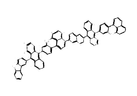 c1cc2c3c(cccc3c1)-c1ccc(-c3c4ccccc4c(-c4ccc5cc(-c6ccc7c8c(cccc68)Oc6cc(-c8c9ccccc9c(-c9ccc%10oc%11ccccc%11c%10c9)c9ccccc89)ccc6-7)ccc5c4)c4ccccc34)cc1O2